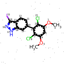 COc1cc(OC)c(Cl)c(-c2ccc3c(I)n[nH]c3c2)c1Cl